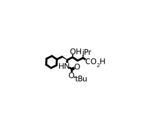 CC(C)[C@H](C[C@H](O)[C@H](CC1CCCCC1)NC(=O)OC(C)(C)C)C(=O)O